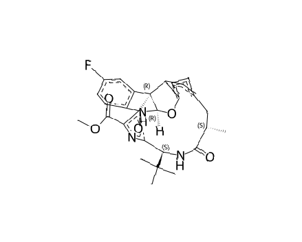 COC(=O)c1nc2oc1[C@@]13c4cc(F)ccc4N[C@@H]1Oc1ccc(cc13)C[C@H](C)C(=O)N[C@H]2C(C)(C)C